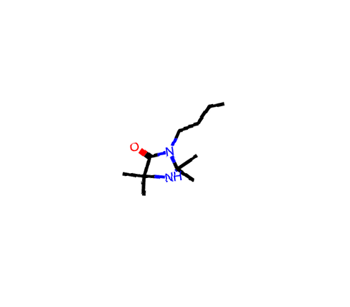 CCCCN1C(=O)C(C)(C)NC1(C)C